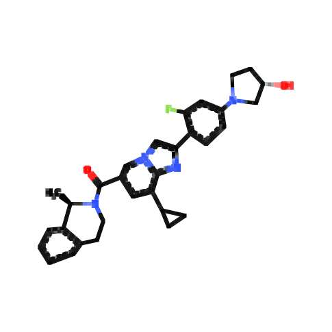 C[C@@H]1c2ccccc2CCN1C(=O)c1cc(C2CC2)c2nc(-c3ccc(N4CC[C@H](O)C4)cc3F)cn2c1